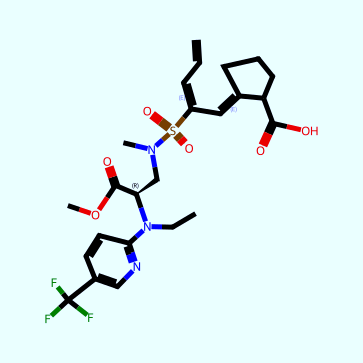 C=C/C=C(\C=C1/CCCC1C(=O)O)S(=O)(=O)N(C)C[C@H](C(=O)OC)N(CC)c1ccc(C(F)(F)F)cn1